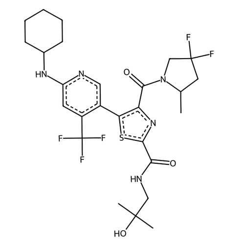 CC1CC(F)(F)CN1C(=O)c1nc(C(=O)NCC(C)(C)O)sc1-c1cnc(NC2CCCCC2)cc1C(F)(F)F